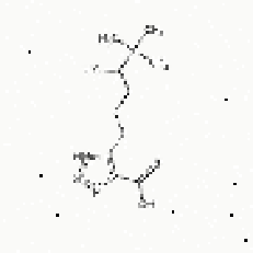 CC(C)(C)C(O)CCCc1[nH]nnc1C(=O)O